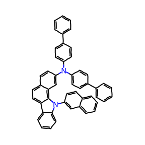 c1ccc(-c2ccc(N(c3ccc(-c4ccccc4)cc3)c3ccc4ccc5c6ccccc6n(-c6ccc7ccccc7c6)c5c4c3)cc2)cc1